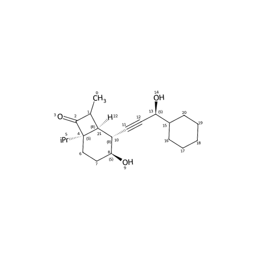 CC1C(=O)[C@]2(C(C)C)CC[C@H](O)[C@@H](C#C[C@@H](O)C3CCCCC3)[C@H]12